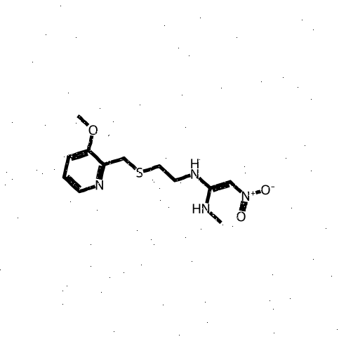 CNC(=C[N+](=O)[O-])NCCSCc1ncccc1OC